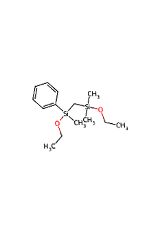 CCO[Si](C)(C)C[Si](C)(OCC)c1ccccc1